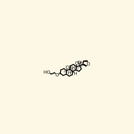 C[C@]12CC[C@H](OCCO)CC1CC[C@@H]1[C@@H]2CC[C@@]2(C)[C@H]1CC[C@@]2(O)c1ccoc1